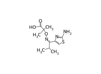 CC(C)/C(=N/OC(C)(C)C(=O)O)c1csc(N)n1